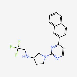 FC(F)(F)CNC1CCN(c2nccc(-c3ccc4ccccc4c3)n2)C1